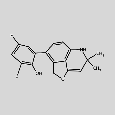 CC1(C)C=C2OCc3c(-c4cc(F)cc(F)c4O)ccc(c32)N1